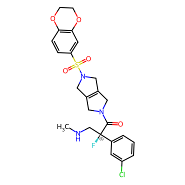 CNC[C@](F)(C(=O)N1CC2=C(C1)CN(S(=O)(=O)c1ccc3c(c1)OCCO3)C2)c1cccc(Cl)c1